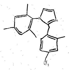 Cc1cc(C)c(-n2ccnc2-c2ccc(C(F)(F)F)cc2C)c(C)c1